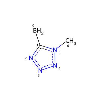 Bc1nnnn1C